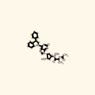 CC(=O)O[C@@H](C)C(=O)N(O)C1C[C@@H](n2cnc3c(NCC(c4ccccc4)c4ccccc4)nc(Cl)nc32)[C@@H](O)C1